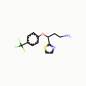 NCCC(Oc1ccc(C(F)(F)F)cc1)c1nccs1